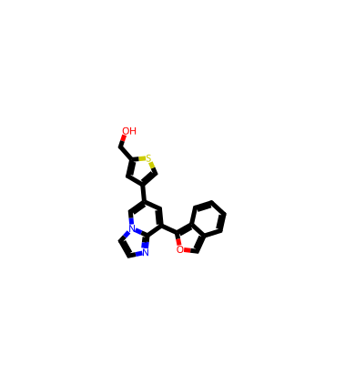 OCc1cc(-c2cc(-c3occ4ccccc34)c3nccn3c2)cs1